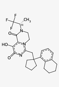 C[C@H](N1CCn2c(CC3(c4cccc5c4CCCC5)CCCC3)nc(=O)c(O)c2C1=O)C(F)(F)F